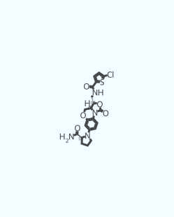 NC(=O)[C@@H]1CCCN1c1ccc2c(c1)OC[C@H]1[C@H](CNC(=O)c3ccc(Cl)s3)OC(=O)N21